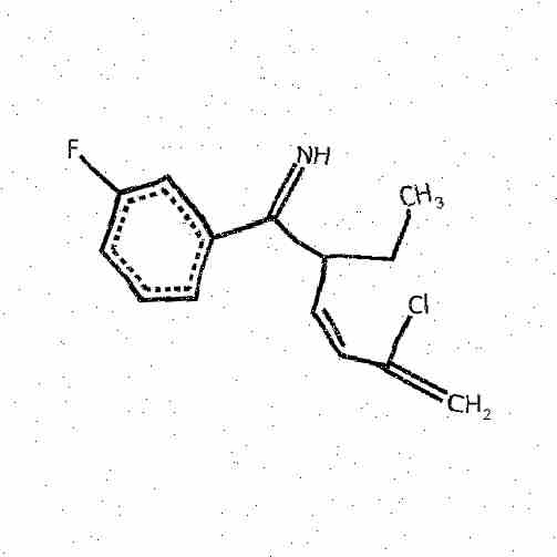 C=C(Cl)/C=C\C(CC)C(=N)c1cccc(F)c1